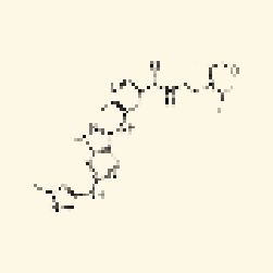 Cc1ncc(C(=O)NCCN2[C@H](C)COC[C@H]2C)cc1Nc1nn(C)c2nc(Nc3cnn(C)c3)ncc12